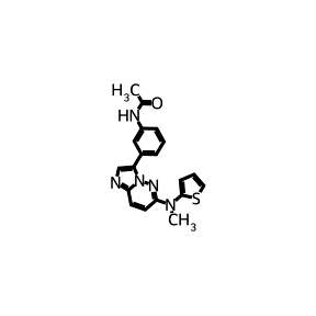 CC(=O)Nc1cccc(-c2cnc3ccc(N(C)c4cccs4)nn23)c1